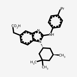 CC(C)c1ccc(Nc2nc3cc(CC(=O)O)ccc3n2[C@@H]2C[C@@H](C)CC(C)(C)C2)cc1